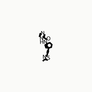 Cc1csc(C#CC23CCCC(NC(=O)c4cnccn4)(CC2)C3)n1